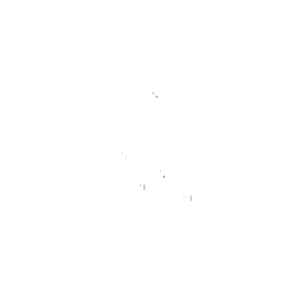 CC(O)C(CCc1cccc2nc(-c3ccc(Cl)cc3)oc12)n1cnc(C(N)=O)c1